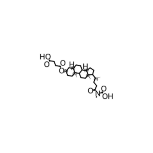 C[C@H](CCC(=O)N(C)C(=O)O)C1CC[C@H]2C3CC[C@@H]4C[C@H](OC(=O)CCC(=O)O)CC[C@]4(C)C3CC[C@]12C